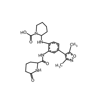 Cc1noc(C)c1-c1ccc(NC2CCCCN2C(=O)O)c(NC(=O)C2CCCC(=O)N2)c1